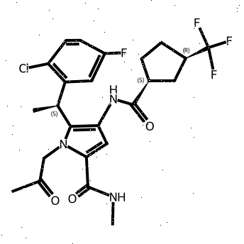 CNC(=O)c1cc(NC(=O)[C@H]2CC[C@@H](C(F)(F)F)C2)c([C@@H](C)c2cc(F)ccc2Cl)n1CC(C)=O